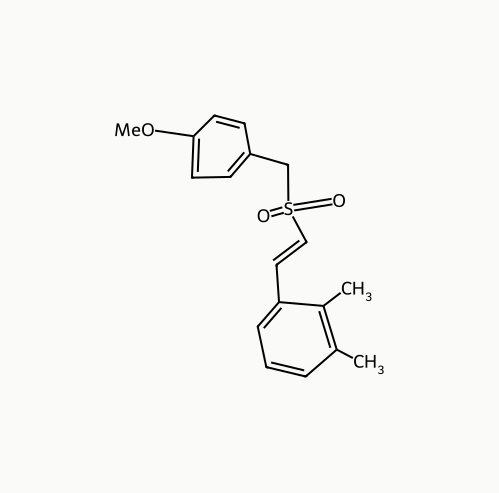 COc1ccc(CS(=O)(=O)C=Cc2cccc(C)c2C)cc1